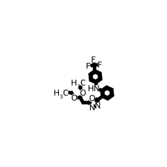 CCOC(Cc1nnc(-c2ccccc2Nc2ccc(C(F)(F)F)cc2)o1)OCC